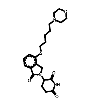 O=C1CCC(N2Cc3c(SCCCCCN4CCOCC4)cccc3C2=O)C(=O)N1